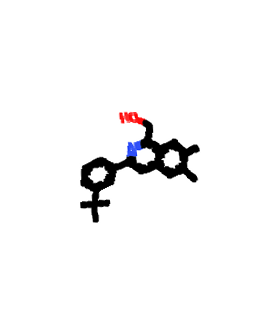 Cc1cc2cc(-c3cccc(C(C)(C)C)c3)nc(CO)c2cc1C